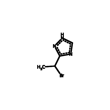 CC(Br)c1nc[nH]n1